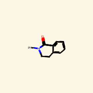 CC(C)N1CCc2ccccc2C1=O